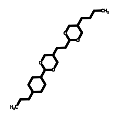 CCCCC1COC(CCC2COC(C3CCC(CCC)CC3)OC2)OC1